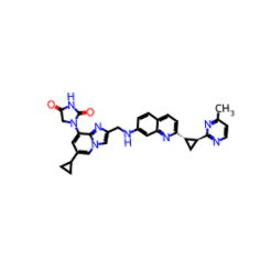 Cc1ccnc([C@H]2C[C@@H]2c2ccc3ccc(NCc4cn5cc(C6CC6)cc(N6CC(=O)NC6=O)c5n4)cc3n2)n1